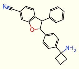 N#Cc1ccc2c(c1)OC(c1ccc(C3(N)CCC3)cc1)C2c1ccccc1